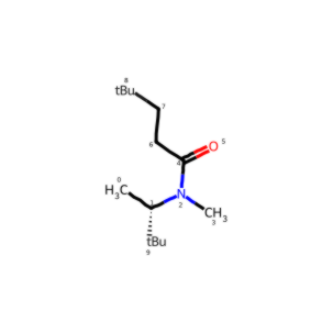 C[C@H](N(C)C(=O)CCC(C)(C)C)C(C)(C)C